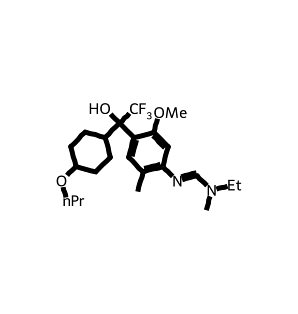 CCCOC1CCC(C(O)(c2cc(C)c(N=CN(C)CC)cc2OC)C(F)(F)F)CC1